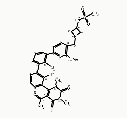 COc1nc(-c2cccc(-c3cccc(-c4c(C(N)=O)c(=O)n(C)c(=O)n4C)c3Cl)c2Cl)ccc1CN1CC(NS(C)(=O)=O)C1